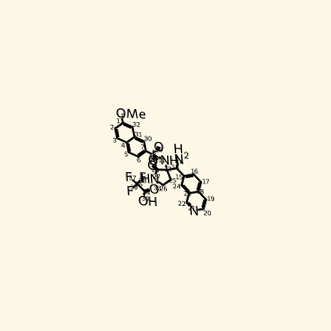 COc1ccc2ccc(S(=O)(=O)N[C@@]3(C(N)c4ccc5ccncc5c4)CCNC3=O)cc2c1.O=C(O)C(F)(F)F